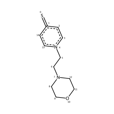 S=c1ccn(CCN2CCOCC2)cc1